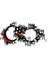 CO[C@H]1/C=C/O[C@@]2(C)Oc3c(C)c(O)c4c(O)c(cc(OCC(=O)NC(C)C(C)C(=O)NCC5NC(=O)CNC(=O)C(O)CNC(=O)C(C(C)O)NC(=O)C(C(O)C(O)C(N)=O)NC(=O)C(C(C)C)CC(=O)C(CO)NC5=O)c4c3C2=O)NC(=O)/C(C)=C\C=C\[C@H](C)[C@H](O)[C@@H](C)[C@@H](O)[C@@H](C)[C@H](OC(C)=O)[C@@H]1C